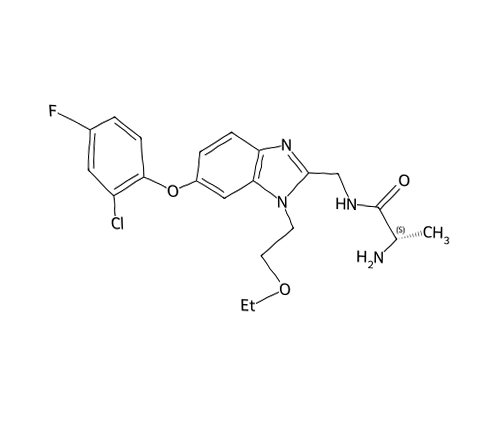 CCOCCn1c(CNC(=O)[C@H](C)N)nc2ccc(Oc3ccc(F)cc3Cl)cc21